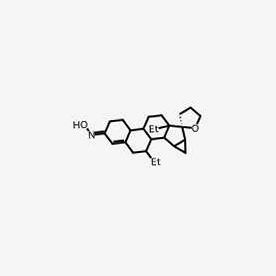 CCC1CC2=C/C(=N/O)CCC2C2CCC3(CC)C(C4CC4[C@@]34CCCO4)C12